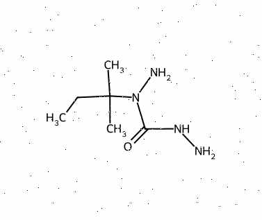 CCC(C)(C)N(N)C(=O)NN